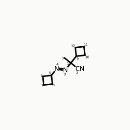 CC(C#N)(N=NC1CCC1)C1CCC1